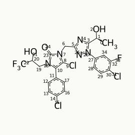 C[C@H](O)c1nc(Cn2c(Cl)c(-c3ccc(Cl)cc3)n(CC(O)C(F)(F)F)c2=O)nn1-c1ccc(Cl)c(F)c1